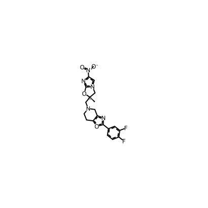 C[C@]1(CN2CCc3oc(-c4ccc(F)c(F)c4)nc3C2)Cn2cc([N+](=O)[O-])nc2O1